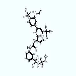 CCOc1cc(-c2cc(C(F)(F)F)n3ncc(OC(=O)Nc4cccc(S(=O)(=O)NC(C)(C)CO)c4)c3n2)ccc1C(F)(F)F